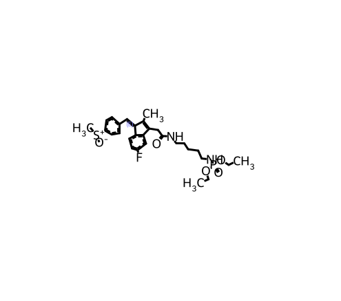 CCOP(=O)(NCCCCCNC(=O)CC1=C(C)/C(=C/c2ccc([S+](C)[O-])cc2)c2ccc(F)cc21)OCC